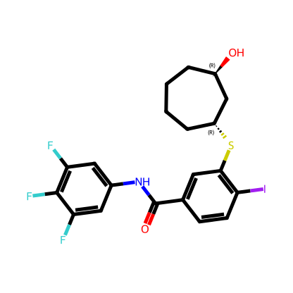 O=C(Nc1cc(F)c(F)c(F)c1)c1ccc(I)c(S[C@@H]2CCCC[C@@H](O)C2)c1